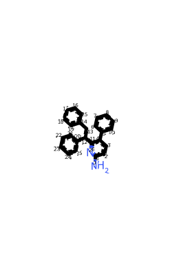 Nc1ccc(-c2ccccc2)c(C(Cc2ccccc2)c2ccccc2)n1